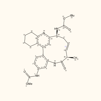 COC(=O)Nc1ccc2c(c1)NC(=O)[C@H](C)/C=C/C[C@H](NC(=O)OC(C)(C)C)c1cc-2c2c(n1)CCCC2